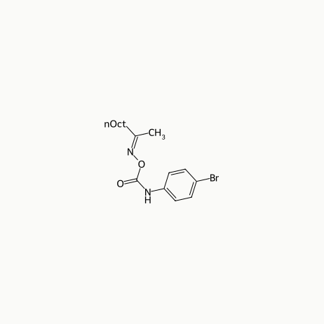 CCCCCCCC/C(C)=N/OC(=O)Nc1ccc(Br)cc1